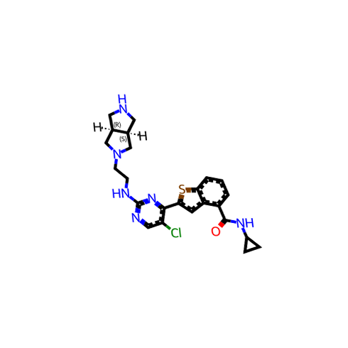 O=C(NC1CC1)c1cccc2sc(-c3nc(NCCN4C[C@H]5CNC[C@H]5C4)ncc3Cl)cc12